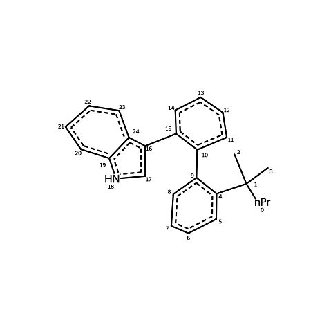 CCCC(C)(C)c1ccccc1-c1ccccc1-c1c[nH]c2ccccc12